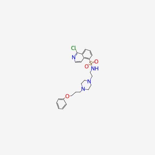 O=S(=O)(NCCN1CCN(CCCOc2ccccc2)CC1)c1cccc2c(Cl)nccc12